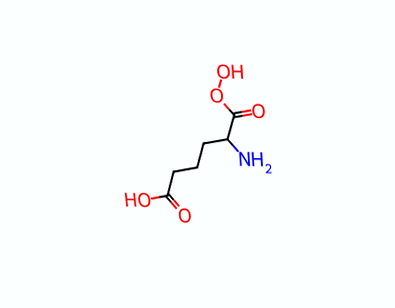 NC(CCCC(=O)O)C(=O)OO